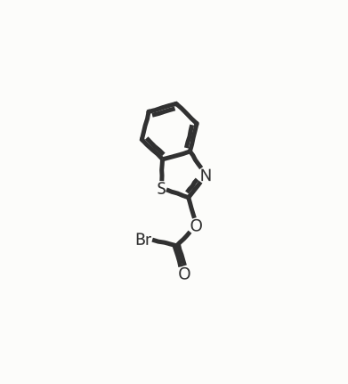 O=C(Br)Oc1nc2ccccc2s1